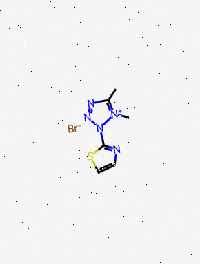 Cc1nnn(-c2nccs2)[n+]1C.[Br-]